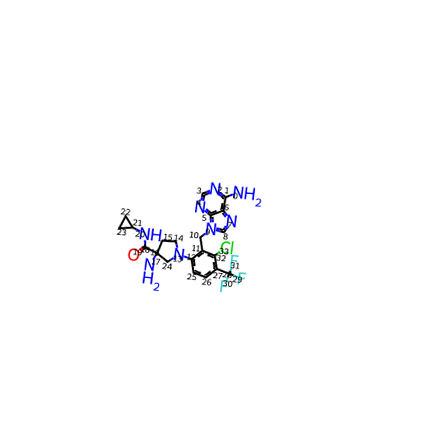 Nc1ncnc2c1ncn2Cc1c(N2CCC(N)(C(=O)NC3CC3)C2)ccc(C(F)(F)F)c1Cl